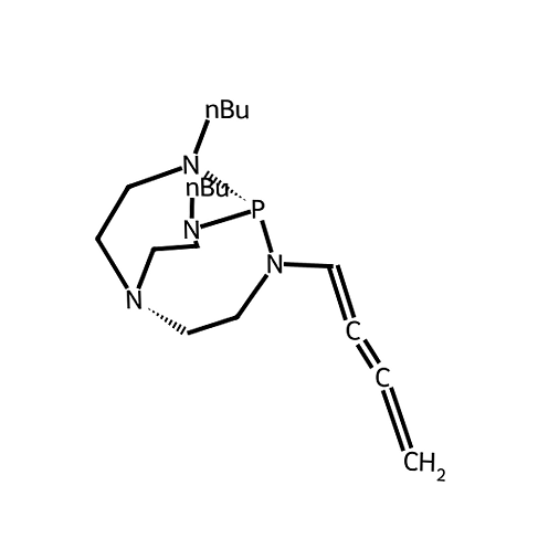 C=C=C=CN1CC[N@]2CCN(CCCC)[P@@]1N(CCCC)CC2